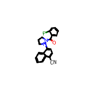 N#Cc1ccc(N2CCCN2C(=O)c2ccccc2F)c2ccccc12